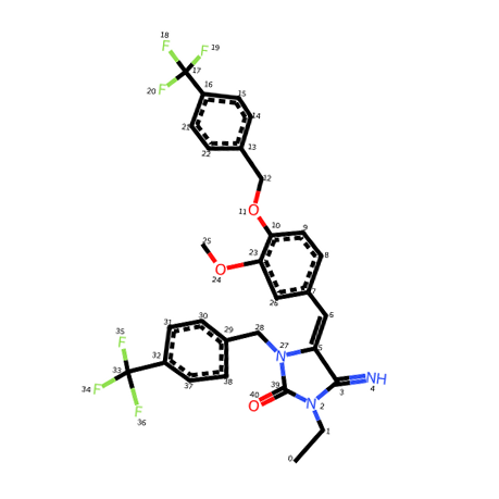 CCN1C(=N)C(=Cc2ccc(OCc3ccc(C(F)(F)F)cc3)c(OC)c2)N(Cc2ccc(C(F)(F)F)cc2)C1=O